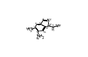 CC(C)Nn1ncc2cc(N)c(N)cc21